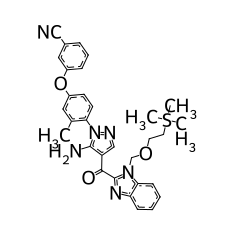 Cc1cc(Oc2cccc(C#N)c2)ccc1-n1ncc(C(=O)c2nc3ccccc3n2COCCS(C)(C)C)c1N